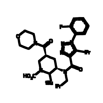 CC(C)CN(C(=O)c1nnn(-c2ccccc2F)c1C(C)C)[C@H]1C[C@@H](C(=O)N2CCOCC2)CN(C(=O)O)C1C(C)(C)C